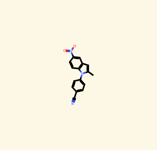 Cc1cc2cc([N+](=O)[O-])ccc2n1-c1ccc(C#N)cc1